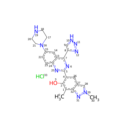 Cc1c(O)c(-c2nc(-c3c[nH]nn3)c3cc(N4CCNCC4)ccc3n2)cc2cn(C)nc12.Cl